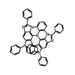 c1ccc(-c2nc3cc4c(c5c3n2-c2cccc3c2B5c2c5c6ccccc6n(-c6ccccc6)c5cc5nc(-c6ccccc6)n-3c25)c2ccccc2n4-c2ccccc2)cc1